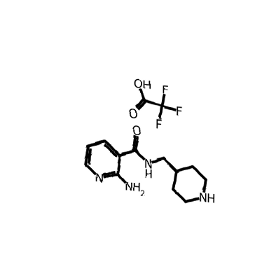 Nc1ncccc1C(=O)NCC1CCNCC1.O=C(O)C(F)(F)F